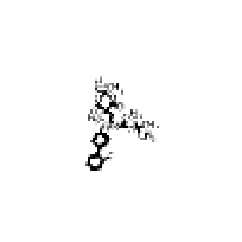 CC(C)(C)OC(=O)N[C@H](Cc1ccc(-c2ccccc2F)cc1)CC1(C)C(=O)OC(C)(C)OC1=O